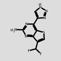 Nc1nc(-c2c[nH]nn2)c2scc(C(F)F)c2n1